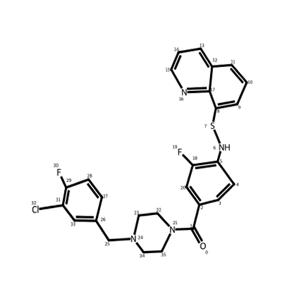 O=C(c1ccc(NSc2cccc3cccnc23)c(F)c1)N1CCN(Cc2ccc(F)c(Cl)c2)CC1